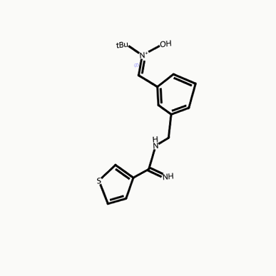 CC(C)(C)/[N+](O)=C/c1cccc(CNC(=N)c2ccsc2)c1